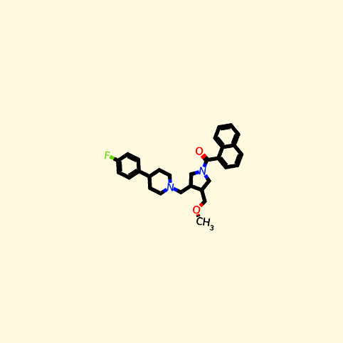 COCC1CN(C(=O)c2cccc3ccccc23)CC1CN1CCC(c2ccc(F)cc2)CC1